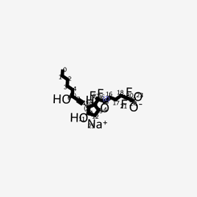 CCCCC[C@H](O)C#C[C@H]1[C@H](O)CC2O/C(=C\CCC(F)(F)C(=O)[O-])C(F)(F)[C@@H]21.[Na+]